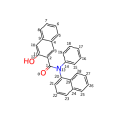 O=C(c1cc2ccccc2cc1O)N(c1ccccc1)c1cccc2ccccc12